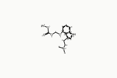 CC(C)OC(=O)OCOc1cccc2[nH]cc(CCN(C)C)c12